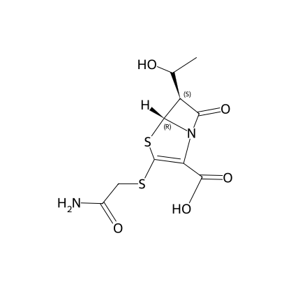 CC(O)[C@H]1C(=O)N2C(C(=O)O)=C(SCC(N)=O)S[C@H]12